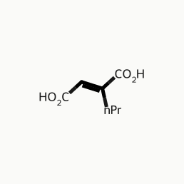 C[CH]C/C(=C\C(=O)O)C(=O)O